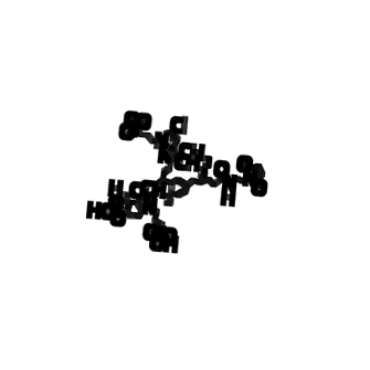 CC1(C)C(/C=C/C(=C/C=C2/N(CCCS(=O)(=O)O)c3ccc(S(=O)(=O)O)cc3C2(C)C)c2cccc(CCCCC(=O)NCCN3C(=O)C=CC3=O)c2)=Nc2c1cc(Cl)c[n+]2CCCS(=O)(=O)[O-]